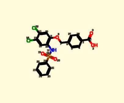 O=C(O)c1ccc(COc2cc(Cl)c(Cl)cc2NS(=O)(=O)c2ccccc2)cc1